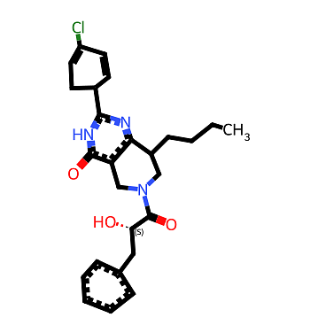 CCCCC1CN(C(=O)[C@@H](O)Cc2ccccc2)Cc2c1nc(C1C=CC(Cl)=CC1)[nH]c2=O